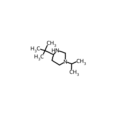 CC(C)N1CCC(C(C)(C)C)NC1